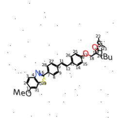 COc1ccc2nc(-c3ccc(C=Cc4ccc(OCC(O[SiH](C)C)C(C)(C)C)cc4)cc3)sc2c1